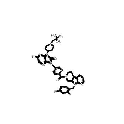 CC(C)(C)CN1CCC(n2c(=O)n(-c3ccc(C(=O)N4CCc5c(n(Cc6ccc(F)cc6F)c6ncccc56)C4)nc3)c3ncc(Br)nc32)CC1